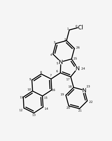 ClCc1ccn2c(-c3ccc4ccccc4c3)c(-c3ccccn3)nc2c1